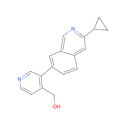 OCc1ccncc1-c1ccc2cc(C3CC3)ncc2c1